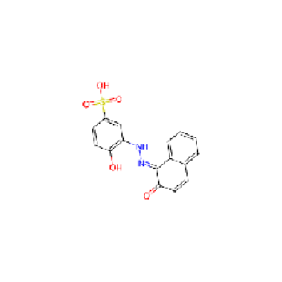 O=C1C=Cc2ccccc2/C1=N\Nc1cc(S(=O)(=O)O)ccc1O